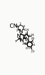 [C-]#[N+]C1CCCN(c2nc(C)nc3c2c(C)c(C)n3-c2c(C)cc(C)cc2C)C1